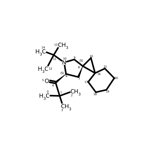 CC(C)(C)C(=O)[C@@H]1C[C@@]2(CN1C(C)(C)C)CC21CCCCC1